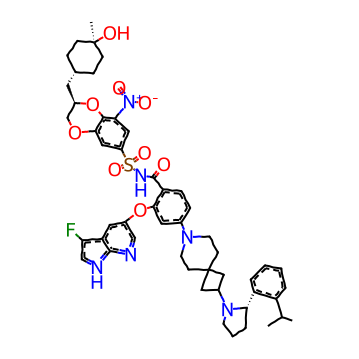 CC(C)c1ccccc1[C@@H]1CCCN1C1CC2(CCN(c3ccc(C(=O)NS(=O)(=O)c4cc5c(c([N+](=O)[O-])c4)O[C@H](C[C@H]4CC[C@](C)(O)CC4)CO5)c(Oc4cnc5[nH]cc(F)c5c4)c3)CC2)C1